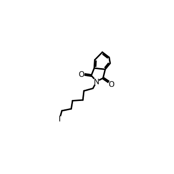 O=C1c2ccccc2C(=O)N1CCCCCCI